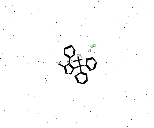 CC(C)(C)C(C1=C(c2ccccc2)[C]([Ti+3])=CC1)(c1ccccc1)c1ccccc1.[Cl-].[Cl-].[Cl-]